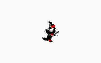 C=CCOC(=O)OC[C@H]1O[C@@H](OCCc2ccc(OCC=C)c(OCC=C)c2)[C@H](O)[C@@H](O)[C@@H]1OC(=O)Cc1ccc(OCC=C)c(OCC=C)c1